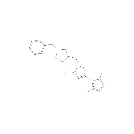 Cc1ccc(C)n1-c1cc(C(C)(C)C)n(CC2CCN(Cc3ccccc3)C2)n1